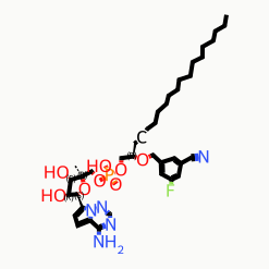 CCCCCCCCCCCCCCCCC[C@H](COP(=O)(O)OC[C@@]1(C)O[C@@H](c2ccc3c(N)ncnn23)[C@H](O)[C@@H]1O)OCc1cc(F)cc(C#N)c1